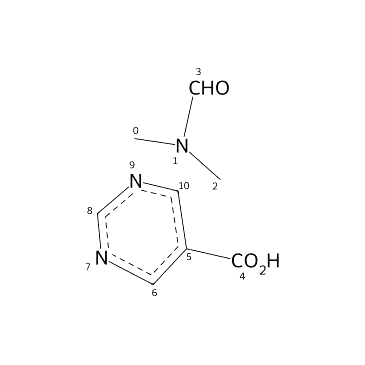 CN(C)C=O.O=C(O)c1cncnc1